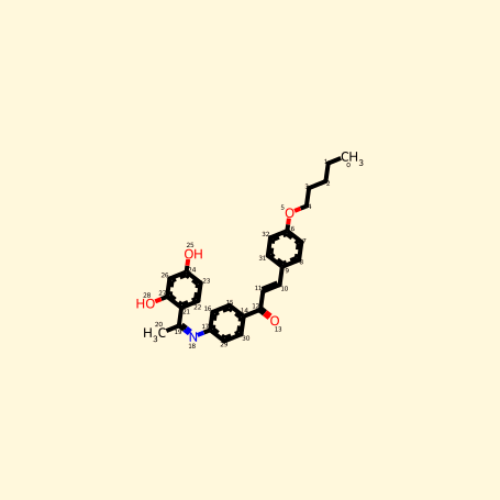 CCCCCOc1ccc(C=CC(=O)c2ccc(N=C(C)c3ccc(O)cc3O)cc2)cc1